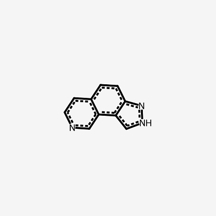 c1cc2ccc3n[nH]cc3c2cn1